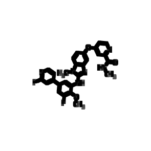 CNC(=O)c1cc(Oc2ccc3c(c2)nc(Nc2cc(-c4ccnc(F)c4)cc(F)c2OC)n3C)ccn1